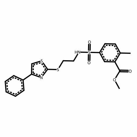 COC(=O)c1cc(S(=O)(=O)NCCSc2nc(-c3ccccc3)cs2)ccc1C